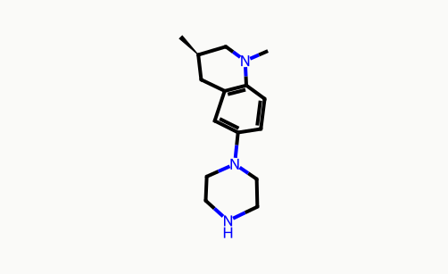 C[C@@H]1Cc2cc(N3CCNCC3)ccc2N(C)C1